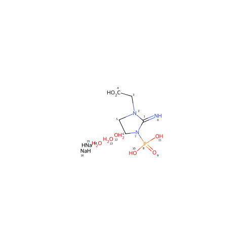 N=C1N(CC(=O)O)CCN1P(=O)(O)O.O.O.O.[NaH].[NaH]